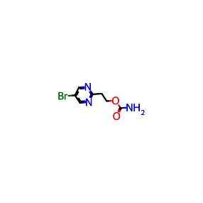 NC(=O)OCCc1ncc(Br)cn1